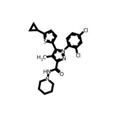 Cc1c(C(=O)NN2CCCCC2)nn(-c2ccc(Cl)cc2Cl)c1-c1ccc(C2CC2)s1